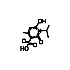 Cc1cc(O)n(C(C)C)c(=O)c1S(=O)(=O)O